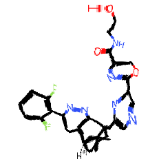 CC1(C)[C@H]2CCC1(c1cncc(-c3nc(C(=O)NCCO)co3)n1)c1nnc(-c3c(F)cccc3F)cc12